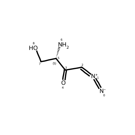 [N-]=[N+]=CC(=O)[C@@H](N)CO